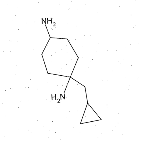 NC1CCC(N)(CC2CC2)CC1